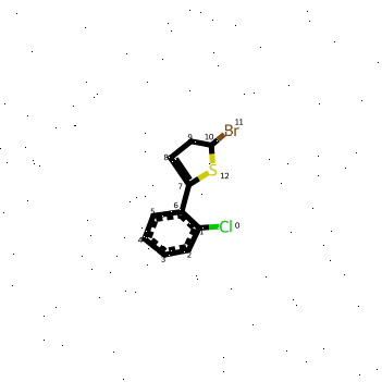 Clc1ccccc1C1=CCC(Br)S1